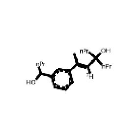 [2H]/C(=C(/C)c1cccc(C(O)CCC)c1)C(O)(CCC)CCC